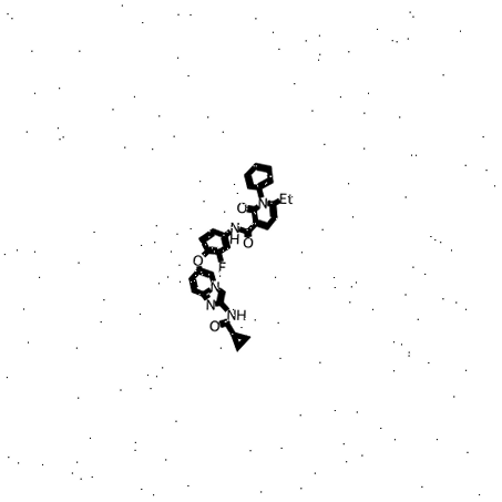 CCc1ccc(C(=O)Nc2ccc(Oc3ccc4nc(NC(=O)C5CC5)cn4c3)c(F)c2)c(=O)n1-c1ccccc1